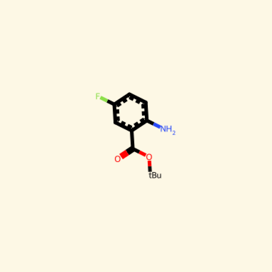 CC(C)(C)OC(=O)c1cc(F)ccc1N